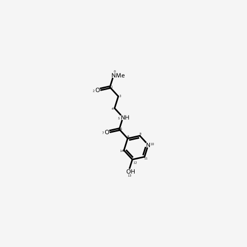 CNC(=O)CCNC(=O)c1cncc(O)c1